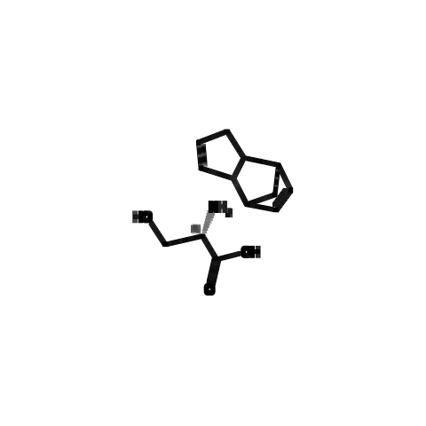 C1=CC2C3C=CC(C3)C2C1.N[C@@H](CO)C(=O)O